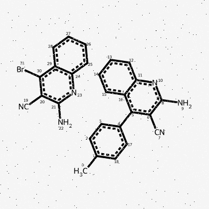 Cc1ccc(-c2c(C#N)c(N)nc3ccccc23)cc1.N#Cc1c(N)nc2ccccc2c1Br